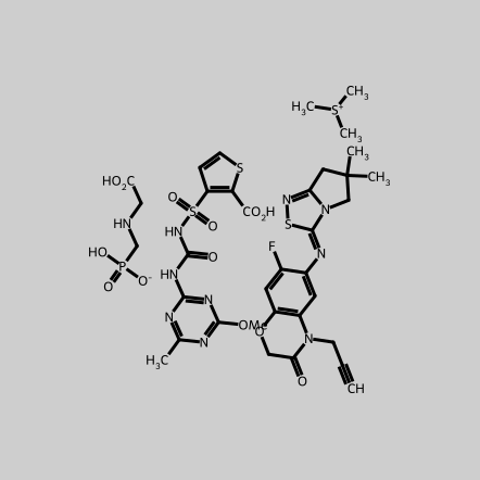 C#CCN1C(=O)COc2cc(F)c(/N=c3\snc4n3CC(C)(C)C4)cc21.COc1nc(C)nc(NC(=O)NS(=O)(=O)c2ccsc2C(=O)O)n1.C[S+](C)C.O=C(O)CNCP(=O)([O-])O